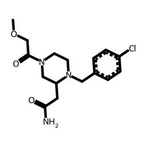 COCC(=O)N1CCN(Cc2ccc(Cl)cc2)C(CC(N)=O)C1